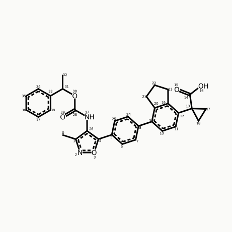 Cc1noc(-c2ccc(-c3ccc(C4(C(=O)O)CC4)c4c3CCC4)cc2)c1NC(=O)OC(C)c1ccccc1